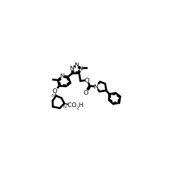 Cc1nc(-c2nnn(C)c2COC(=O)N2CCC(c3ccccc3)C2)ccc1O[C@H]1CCC[C@H](C(=O)O)C1